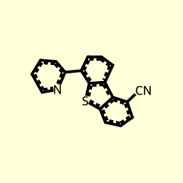 N#Cc1cccc2sc3c(-c4ccccn4)cccc3c12